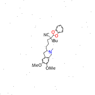 CCC(C)C(C#N)(CCCC1Cc2cc(OC)c(OC)cc2CN1C)C1Oc2ccccc2O1